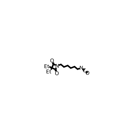 CCC1(CC)C(=O)N(CCCCCCN=C=O)C1=O